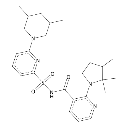 CC1CC(C)CN(c2cccc(S(=O)(=O)NC(=O)c3cccnc3N3CCC(C)C3(C)C)n2)C1